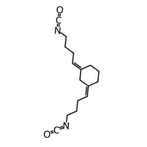 O=C=NCCCC=C1CCCC(=CCCCN=C=O)C1